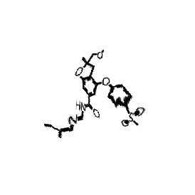 C=C/C(C)=C\N=C\NC(=O)c1cc(Oc2ccc(S(C)(=O)=O)cc2)c2c(c1)OC(C)(COC)C2